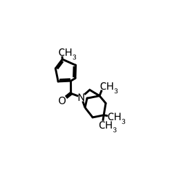 Cc1ccc(C(=O)N2CC3(C)CC2CC(C)(C)C3)cc1